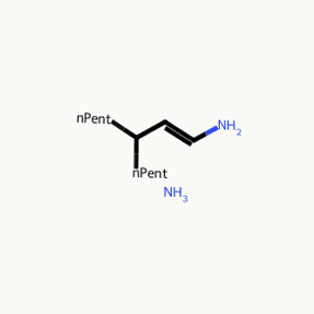 CCCCCC(C=CN)CCCCC.N